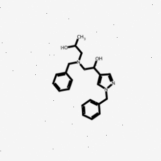 CC(O)CN(Cc1ccccc1)CC(O)c1cnn(Cc2ccccc2)c1